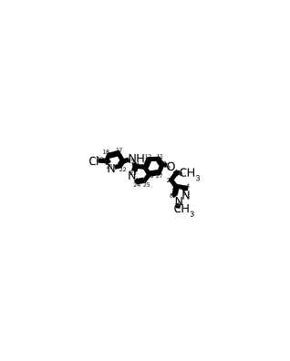 CC(Cc1cnn(C)c1)Oc1ccc2c(Nc3ccc(Cl)nc3)nccc2c1